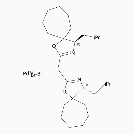 CC(C)C[C@H]1N=C(CC2=N[C@H](CC(C)C)C3(CCCCCC3)O2)OC12CCCCCC2.[Br-].[Br-].[Pd+2]